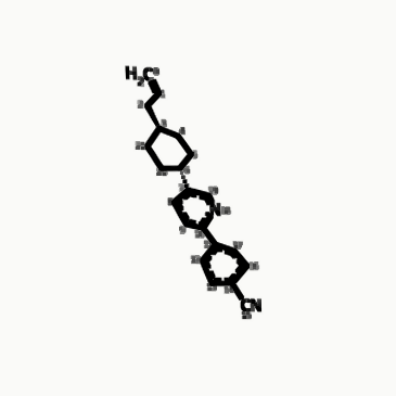 C=CC[C@H]1CC[C@H](c2ccc(-c3ccc(C#N)cc3)nc2)CC1